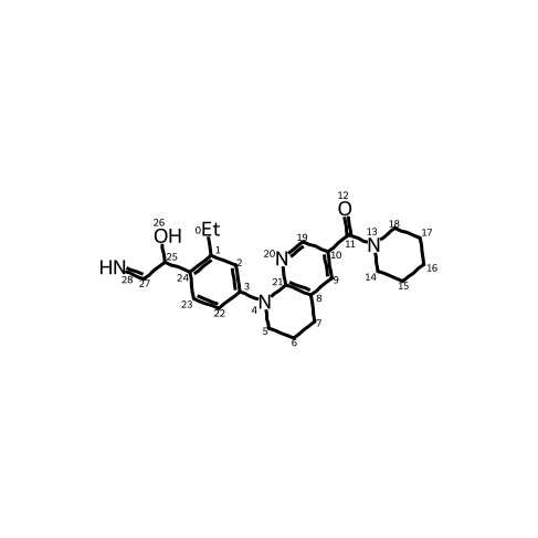 CCc1cc(N2CCCc3cc(C(=O)N4CCCCC4)cnc32)ccc1C(O)C=N